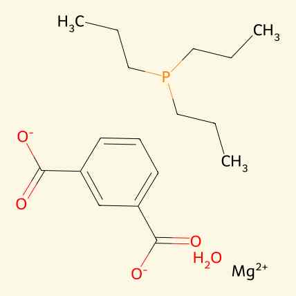 CCCP(CCC)CCC.O.O=C([O-])c1cccc(C(=O)[O-])c1.[Mg+2]